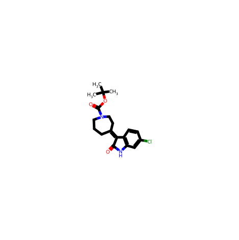 CC(C)(C)OC(=O)N1CCC/C(=C2\C(=O)Nc3cc(Cl)ccc32)CC1